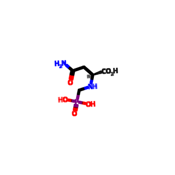 NC(=O)C[C@H](NCP(=O)(O)O)C(=O)O